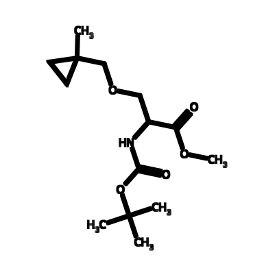 COC(=O)C(COCC1(C)CC1)NC(=O)OC(C)(C)C